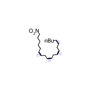 CCCC/C=C\C/C=C\C/C=C\C/C=C\CCCCC[N+](=O)[O-]